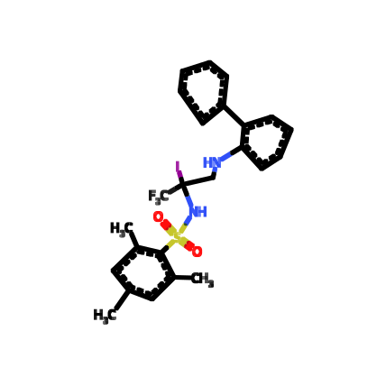 Cc1cc(C)c(S(=O)(=O)NC(I)(CNc2ccccc2-c2ccccc2)C(F)(F)F)c(C)c1